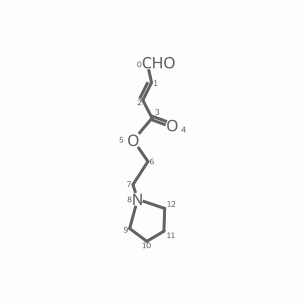 O=C/C=C/C(=O)OCCN1CCCC1